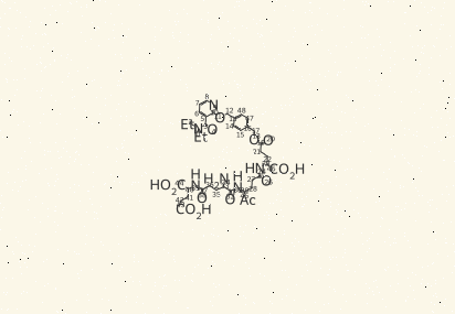 CCN(CC)C(=O)c1cccnc1OCc1ccc(COC(=O)CCC(NC(=O)CCC(NC(=O)C(N)CCC(=O)NC(CCC(=O)O)C(=O)O)C(C)=O)C(=O)O)cc1